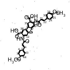 COc1ccc(C=CC(=O)Nc2cc3sc4cc(NC(=O)C=Cc5ccc(OC)cc5)c(C(=O)O)cc4c3cc2C(=O)O)cc1